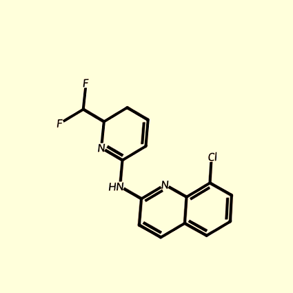 FC(F)C1CC=CC(Nc2ccc3cccc(Cl)c3n2)=N1